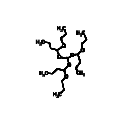 CCCOC(CCC)[O][Y]([O]C(CCC)OCCC)[O]C(CCC)OCCC